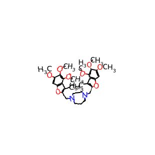 COc1cc2oc(CN3CCCN(Cc4oc5cc(OC)c(OC)c(OC)c5c4C)CC3)c(C)c2c(OC)c1OC